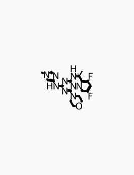 C[C@H](Nc1nc(Nc2cn(C)cn2)nc(N2CCOCC2)n1)c1ncc(F)cc1F